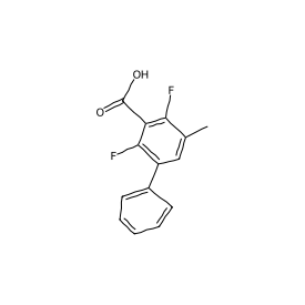 Cc1cc(-c2ccccc2)c(F)c(C(=O)O)c1F